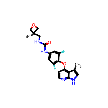 CC(C)C1(CNC(=O)Nc2cc(F)c(Oc3ccnc4[nH]cc(C(F)(F)F)c34)c(F)c2)COC1